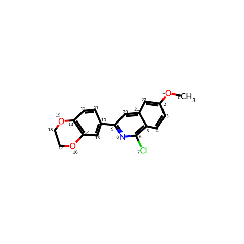 COc1ccc2c(Cl)nc(-c3ccc4c(c3)OCCO4)cc2c1